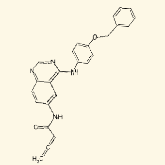 C=C=CC(=O)Nc1ccc2ncnc(Nc3ccc(OCc4ccccc4)cc3)c2c1